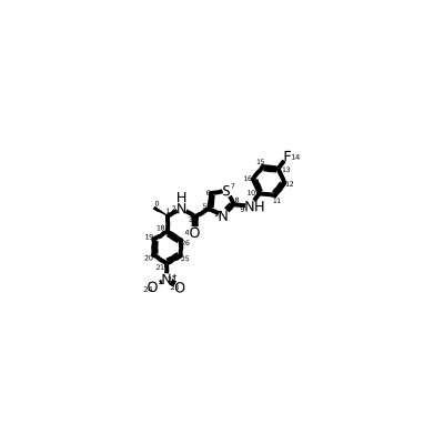 C[C@@H](NC(=O)c1csc(Nc2ccc(F)cc2)n1)c1ccc([N+](=O)[O-])cc1